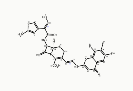 Nc1nc(/C(=N\O)C(=O)NC2C(=O)N3C(C(=O)O)=C(/C=C/Sc4cc(=O)c5cc(F)c(F)c(F)c5s4)CS[C@H]23)cs1